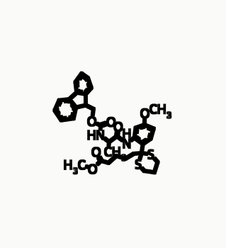 COC(=O)CCCCC1(c2ccc(OC)cc2NC(=O)C(C)NC(=O)OCC2c3ccccc3-c3ccccc32)SCCCS1